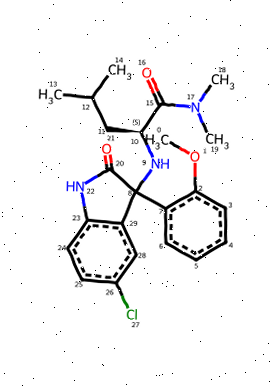 COc1ccccc1C1(N[C@@H](CC(C)C)C(=O)N(C)C)C(=O)Nc2ccc(Cl)cc21